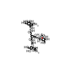 CC(=O)NC1C(OCNCNC(=O)CCC(CCC(=O)NCNCOC2CC(CO)C(O)C(O)C2NC(C)=O)CCC(=O)NCNCOC2CC(CO)C(O)C(O)C2NC(C)=O)CC(CO)C(O)C1O